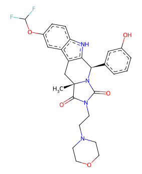 C[C@@]12Cc3c([nH]c4ccc(OC(F)F)cc34)[C@@H](c3cccc(O)c3)N1C(=O)N(CCN1CCOCC1)C2=O